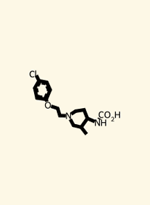 CC1CN(CCOc2ccc(Cl)cc2)CCC1NC(=O)O